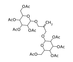 C=C(COC1OC(COC(C)=O)C(OC(C)=O)C(OC(C)=O)C1OC(C)=O)COC1OC(COC(C)=O)C(OC(C)=O)C(OC(C)=O)C1OC(C)=O